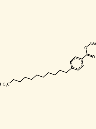 CC(C)(C)OC(=O)c1ccc(CCCCCCCCCCC(=O)O)cc1